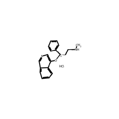 CNCC[C@H](Oc1cncc2ccccc12)c1ccccc1.Cl